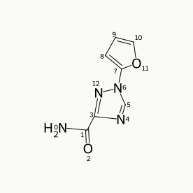 NC(=O)c1ncn(-c2ccco2)n1